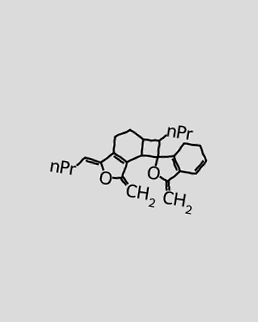 C=C1OC2(C3=C1C=CCC3)C(CCC)C1CCc3c(c(=C)o/c3=C\CCC)C12